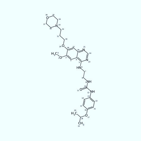 COc1cc2c(NCCNC(=O)Nc3ccc(OC(C)C)cc3)ncnc2cc1OCCCN1CCOCC1